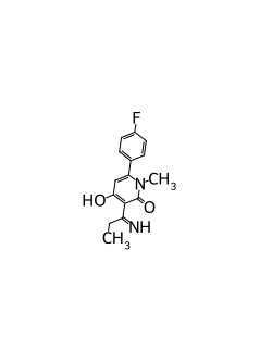 CCC(=N)c1c(O)cc(-c2ccc(F)cc2)n(C)c1=O